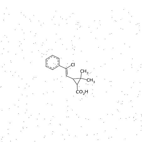 CC1(C)C(C=C(Cl)c2ccccc2)C1C(=O)O